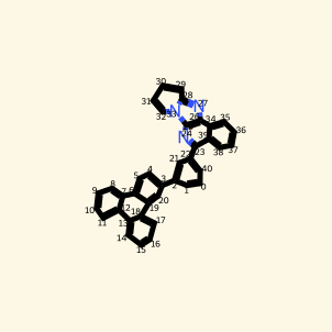 c1cc(-c2ccc3c4ccccc4c4ccccc4c3c2)cc(-c2nc3c(nc4ccccn43)c3ccccc23)c1